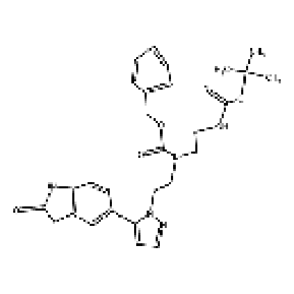 CC(C)(C)OC(=O)NCCN(CCn1nccc1-c1ccc2c(c1)CC(=O)N2)C(=O)OCc1ccccc1